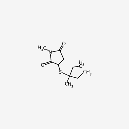 CCC(C)(CC)SC1CC(=O)N(C)C1=O